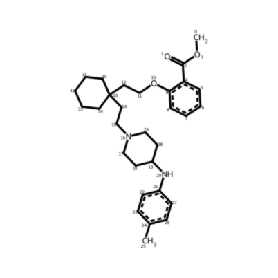 COC(=O)c1ccccc1OCCC1(CCN2CCC(Nc3ccc(C)cc3)CC2)CCCCC1